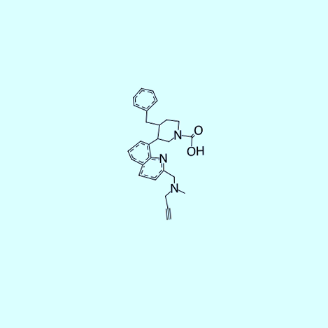 C#CCN(C)Cc1ccc2cccc(C3CN(C(=O)O)CCC3Cc3ccccc3)c2n1